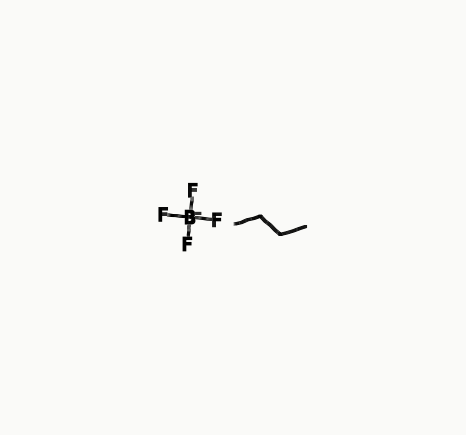 CCCC.F[B-](F)(F)F